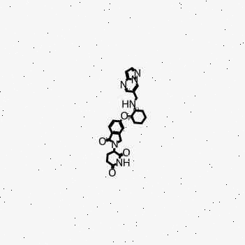 O=C1CCC(N2Cc3cc(O[C@@H]4CCCC[C@@H]4NCc4cnc5ccnn5c4)ccc3C2=O)C(=O)N1